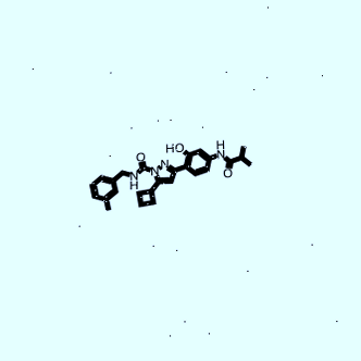 Cc1cccc(CNC(=O)n2nc(-c3ccc(NC(=O)C(C)C)cc3O)cc2C2CCC2)c1